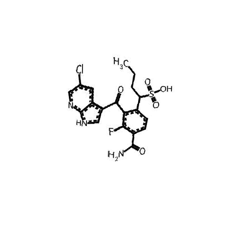 CCCC(c1ccc(C(N)=O)c(F)c1C(=O)c1c[nH]c2ncc(Cl)cc12)S(=O)(=O)O